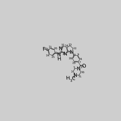 CN1CCN(C(=O)c2ccc(N3CCc4cnc(Nc5ccc(F)cc5)nc43)cc2)CC1